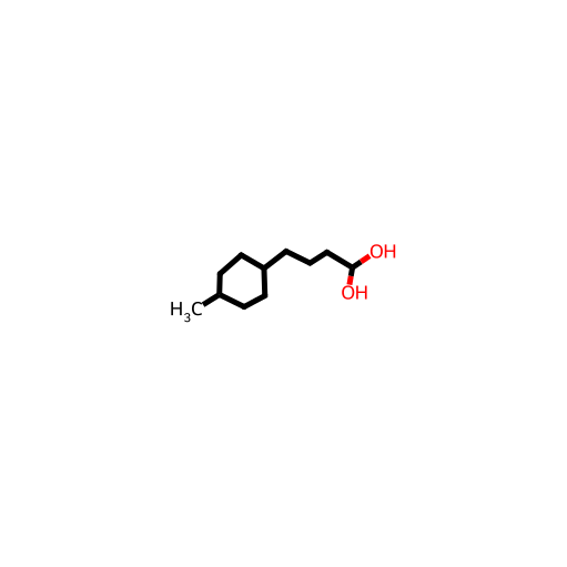 CC1CCC(CCCC(O)O)CC1